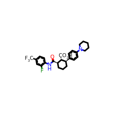 O=C(O)[C@@H]1[C@@H](c2ccc(N3CCCCC3)cc2)CCC[C@H]1C(=O)Nc1ccc(C(F)(F)F)cc1F